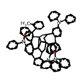 Cc1ccccc1-c1ccccc1C12CC3CC4(CC5c6c(cccc6N(c6ccccc6)c6ccccc6)-c6ccc(N(c7ccccc7)c7ccccc7)cc6C51C42)c1cc(N(c2ccccc2)c2ccccc2)ccc1-c1ccc(N(c2ccccc2)c2ccccc2)cc13